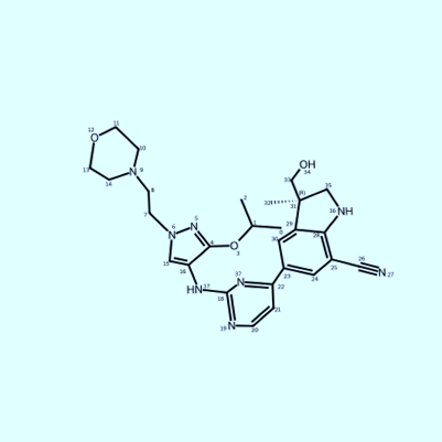 CC(C)Oc1nn(CCN2CCOCC2)cc1Nc1nccc(-c2cc(C#N)c3c(c2)[C@@](C)(CO)CN3)n1